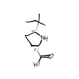 CC(C)(C)[C@H]1CC[C@@H](C(=O)O)N1